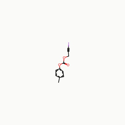 Cc1ccc(OC(=O)OCC#CI)cc1